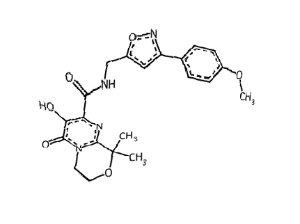 COc1ccc(-c2cc(CNC(=O)c3nc4n(c(=O)c3O)CCOC4(C)C)on2)cc1